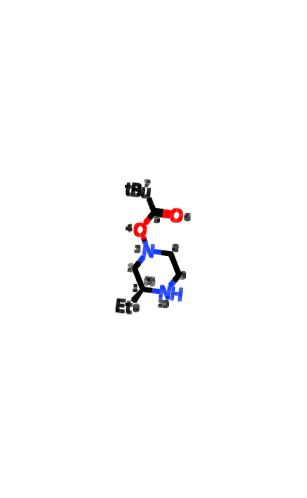 CC[C@H]1CN(OC(=O)C(C)(C)C)CCN1